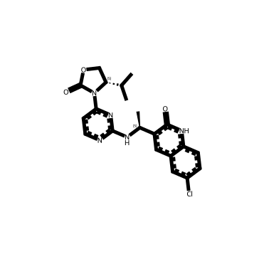 CC(C)[C@H]1COC(=O)N1c1ccnc(N[C@@H](C)c2cc3cc(Cl)ccc3[nH]c2=O)n1